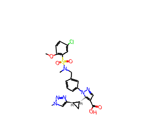 COc1ccc(Cl)cc1S(=O)(=O)N(C)Cc1cccc(-n2ncc(C(=O)O)c2[C@@H]2C[C@H]2c2cn(C)nn2)c1